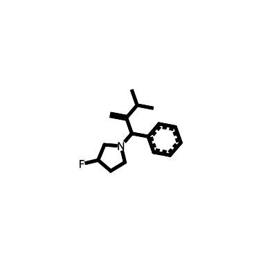 C=C(C(C)C)C(c1ccccc1)N1CCC(F)C1